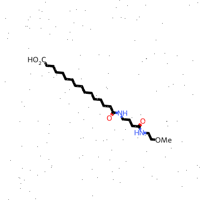 COCCNC(=O)CCCNC(=O)CCCCCCCCCCCCCCC(=O)O